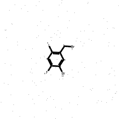 Fc1cc(I)c(CBr)cc1Br